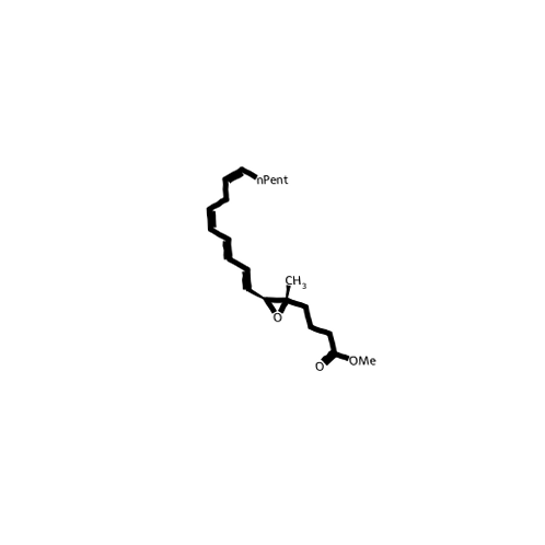 CCCCC/C=C\C\C=C/C=C/C=C/[C@@H]1O[C@@]1(C)CCCC(=O)OC